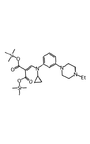 CCN1CCN(c2cccc(N(C=C(C(=O)O[Si](C)(C)C)C(=O)O[Si](C)(C)C)C3CC3)c2)CC1